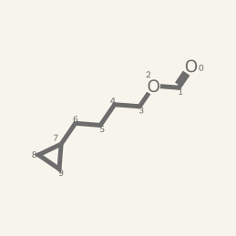 O=COCCCCC1CC1